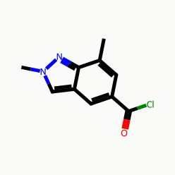 Cc1cc(C(=O)Cl)cc2cn(C)nc12